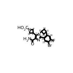 NC(=O)c1nc2n(c1C1CN(C(=O)O)C1)C1CC(C1)c1cc(F)c(Br)cc1-2